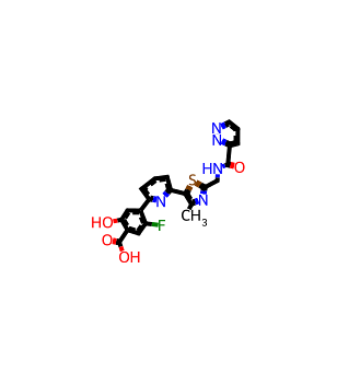 Cc1nc(CNC(=O)c2cccnn2)sc1-c1cccc(-c2cc(O)c(C(=O)O)cc2F)n1